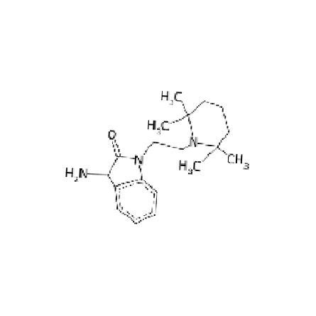 CC1(C)CCCC(C)(C)N1CCN1C(=O)C(N)c2ccccc21